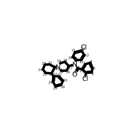 O=C(c1ccccc1Cl)N(c1ccc(Cl)cc1)C1CCN(C2CCCCC2c2ccccc2)CC1